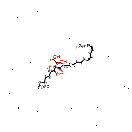 CCCCC/C=C\C/C=C\CCCCCCCC(=O)C(O)(C(=O)CCCCCCCCCCCCCCC)C(O)CO